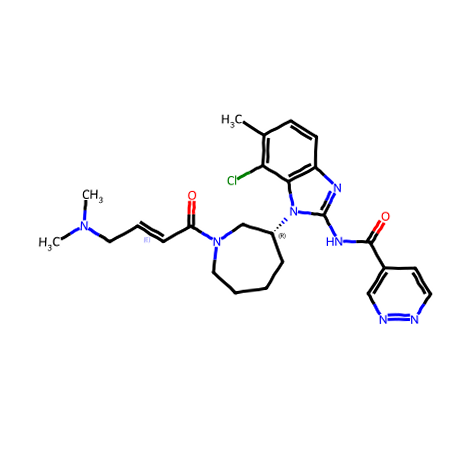 Cc1ccc2nc(NC(=O)c3ccnnc3)n([C@@H]3CCCCN(C(=O)/C=C/CN(C)C)C3)c2c1Cl